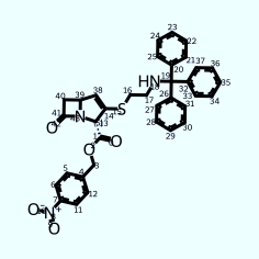 O=C(OCc1ccc([N+](=O)[O-])cc1)[C@H]1C(SCCNC(c2ccccc2)(c2ccccc2)c2ccccc2)=CC2CC(=O)N21